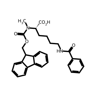 CN(C(=O)OCC1c2ccccc2-c2ccccc21)[C@@H](CCCCNC(=O)c1ccccc1)C(=O)O